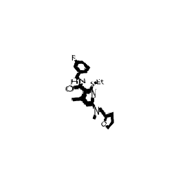 CCSc1nc(N(C)CC2CCCO2)cc(C)c1C(=O)NCc1cccc(F)c1